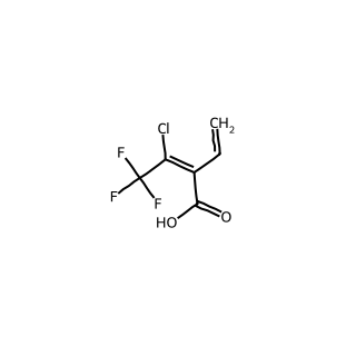 C=CC(C(=O)O)=C(Cl)C(F)(F)F